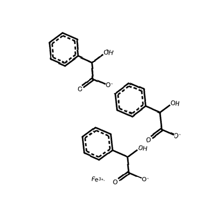 O=C([O-])C(O)c1ccccc1.O=C([O-])C(O)c1ccccc1.O=C([O-])C(O)c1ccccc1.[Fe+3]